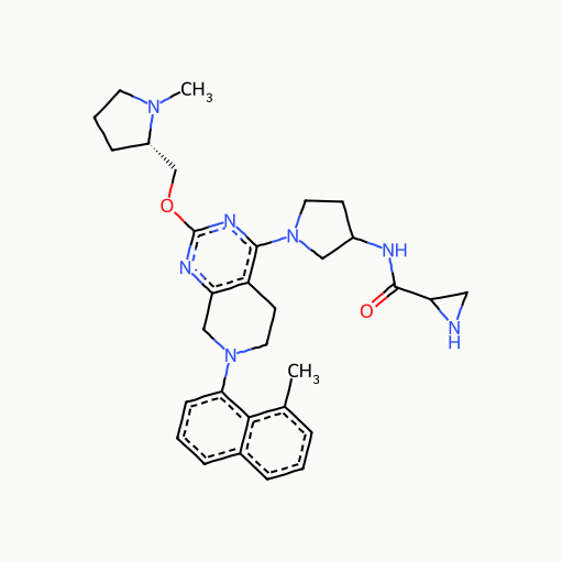 Cc1cccc2cccc(N3CCc4c(nc(OC[C@@H]5CCCN5C)nc4N4CCC(NC(=O)C5CN5)C4)C3)c12